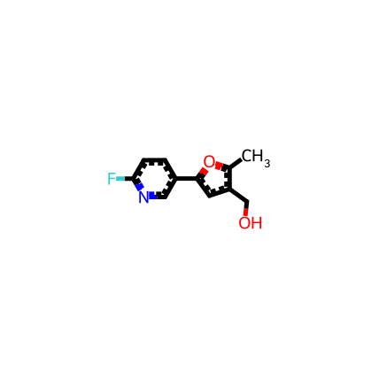 Cc1oc(-c2ccc(F)nc2)cc1CO